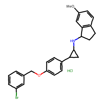 COc1ccc2c(c1)C(NC1CC1c1ccc(OCc3cccc(Br)c3)cc1)CC2.Cl